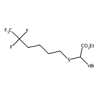 CCCCC(SCCCCC(F)(F)C(F)(F)F)C(=O)OCC